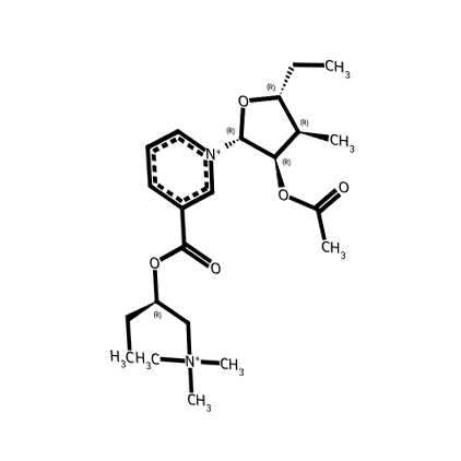 CC[C@H](C[N+](C)(C)C)OC(=O)c1ccc[n+]([C@@H]2O[C@H](CC)[C@@H](C)[C@H]2OC(C)=O)c1